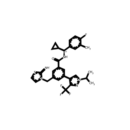 Cc1cc([C@@H](NC(=O)c2cc(Cn3ccsc3=N)cc(-c3cn(C(C)C)nc3C(F)(F)F)c2)C2CC2)ccc1F